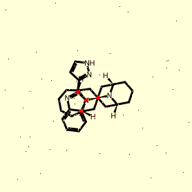 c1ccc2c(c1)nc(-c1cc[nH]n1)n2[C@@H]1C[C@H]2CCC[C@@H](C1)N2[C@H]1C[C@@H]2CCCC[C@@H](C2)C1